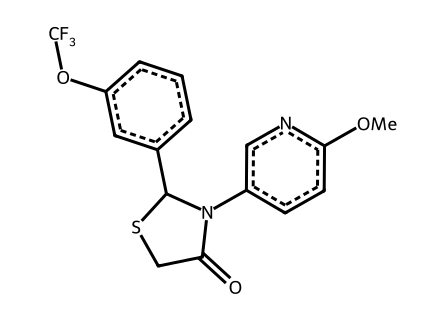 COc1ccc(N2C(=O)CSC2c2cccc(OC(F)(F)F)c2)cn1